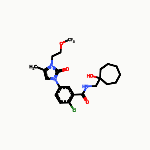 Cc1cn(-c2ccc(Cl)c(C(=O)NCC3(O)CCCCCC3)c2)c(=O)n1CCOC(F)(F)F